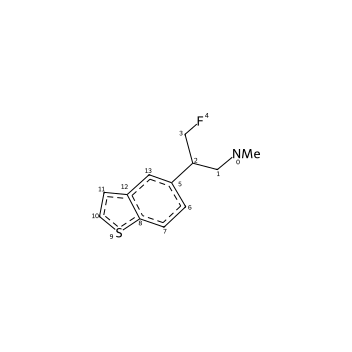 CNCC(CF)c1ccc2sccc2c1